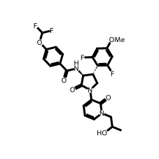 COc1cc(F)c([C@@H]2CN(c3cccn(CC(C)O)c3=O)C(=O)[C@H]2NC(=O)c2ccc(OC(F)F)cc2)c(F)c1